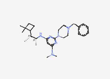 C[C@H](C1CCC1(C)C)[C@@H](C)Nc1cc(N(C)C)nc(N2CCN(Cc3ccccc3)CC2)n1